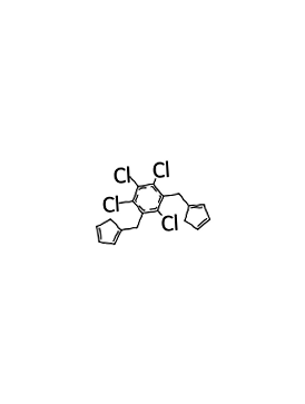 Clc1c(Cl)c(CC2=CC=CC2)c(Cl)c(CC2=CC=CC2)c1Cl